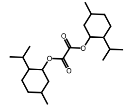 CC1CCC(C(C)C)C(OC(=O)C(=O)OC2CC(C)CCC2C(C)C)C1